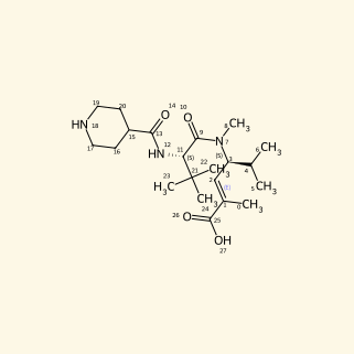 C/C(=C\[C@H](C(C)C)N(C)C(=O)[C@@H](NC(=O)C1CCNCC1)C(C)(C)C)C(=O)O